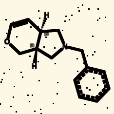 C1=C[C@H]2CN(Cc3ccccc3)C[C@@H]2CO1